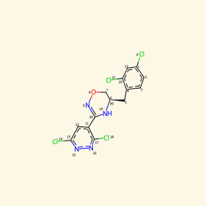 Clc1ccc(C[C@@H]2CON=C(c3cc(Cl)nnc3Cl)N2)c(Cl)c1